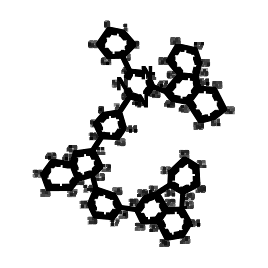 c1ccc(-c2nc(-c3ccc(-c4cc(-c5cccc(-c6cc7c8c(cccc8c6)-c6ccccc6-7)c5)c5ccccc5c4)cc3)nc(-c3cc4ccccc4c4ccccc34)n2)cc1